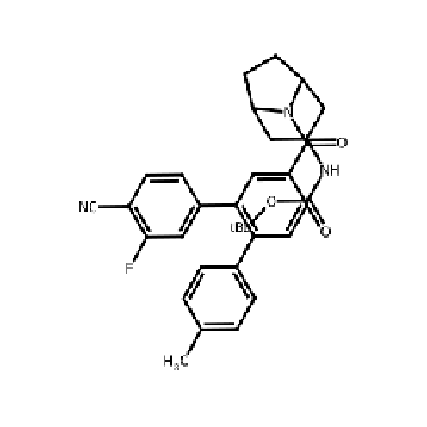 Cc1ccc(-c2ccc(C(=O)N3C4CCC3CC(NC(=O)OC(C)(C)C)C4)cc2-c2ccc(C#N)c(F)c2)cc1